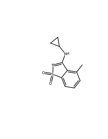 Cc1cccc2c1C(NC1CC1)=NS2(=O)=O